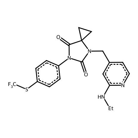 CCNc1cc(CN2C(=O)N(c3ccc(SC(F)(F)F)cc3)C(=O)C23CC3)ccn1